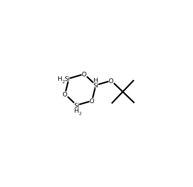 CC(C)(C)O[SiH]1O[SiH2]O[SiH2]O1